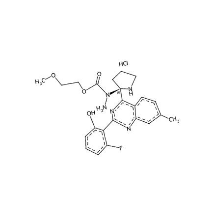 COCCOC(=O)N(N)[C@@]1(c2nc(-c3c(O)cccc3F)nc3cc(C)ccc23)CCCN1.Cl